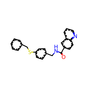 O=C(NCc1ccc(SCc2ccccc2)cc1)c1ccc2ncccc2c1